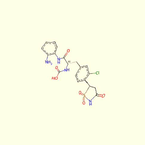 Nc1ccccc1NC(=O)[C@H](Cc1ccc(C2CC(=O)NS2(=O)=O)c(Cl)c1)NC(=O)O